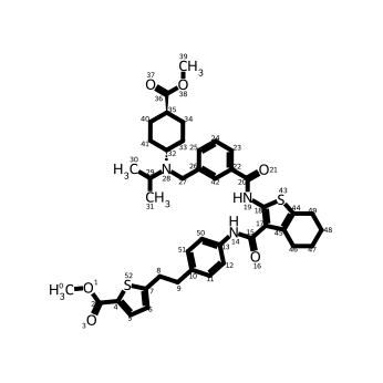 COC(=O)c1ccc(CCc2ccc(NC(=O)c3c(NC(=O)c4cccc(CN(C(C)C)[C@H]5CC[C@H](C(=O)OC)CC5)c4)sc4c3CCCC4)cc2)s1